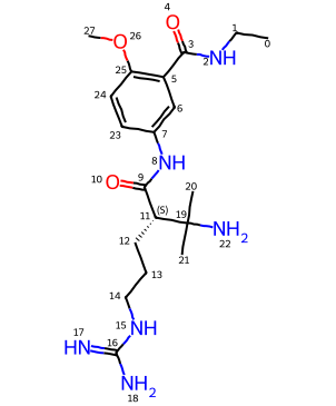 CCNC(=O)c1cc(NC(=O)[C@@H](CCCNC(=N)N)C(C)(C)N)ccc1OC